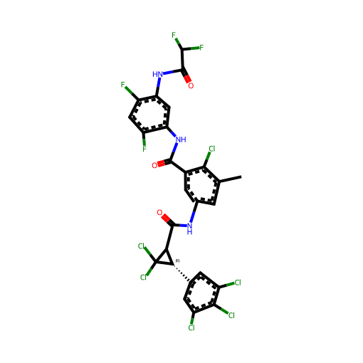 Cc1cc(NC(=O)C2[C@H](c3cc(Cl)c(Cl)c(Cl)c3)C2(Cl)Cl)cc(C(=O)Nc2cc(NC(=O)C(F)F)c(F)cc2F)c1Cl